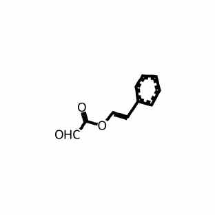 O=CC(=O)OC=Cc1ccccc1